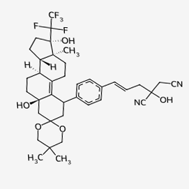 CC1(C)COC2(CC(c3ccc(/C=C/CC(O)(C#N)CC#N)cc3)C3=C4CC[C@@]5(C)[C@@H](CC[C@@]5(O)C(F)(F)C(F)(F)F)[C@@H]4CC[C@@]3(O)C2)OC1